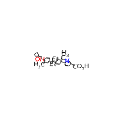 CCC(CC)(c1ccc(CCC2(O)CCCC2)c(C)c1)c1ccc(-c2ccc(CC(=O)O)cn2)c(C)c1